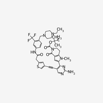 CCN1CCN(Cc2ccc(NC(=O)Cc3cc(C#Cc4cnc(N)nc4-c4cc5c(n4C)CCN(C(=O)OC(C)(C)C)C5=O)cs3)cc2C(F)(F)F)CC1